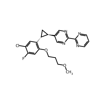 COCCCOc1cc(F)c(Cl)cc1[C@@H]1C[C@H]1c1cnc(-c2ncccn2)nc1